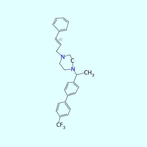 CC(c1ccc(-c2ccc(C(F)(F)F)cc2)cc1)N1CCN(C/C=C/c2ccccc2)CC1